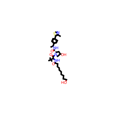 Cc1ncsc1-c1ccc(C(C)NC(=O)[C@@H]2C[C@@H](O)CN2C(=O)C(NC(=O)CCCCCCCCCO)C(C)(C)C)cc1